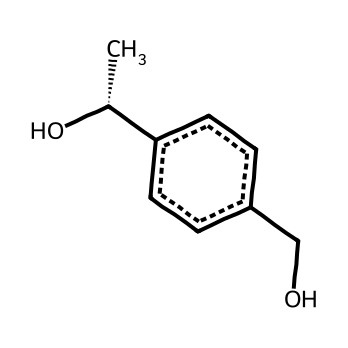 C[C@@H](O)c1ccc(CO)cc1